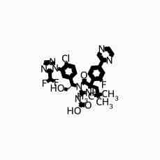 CC(C)(C)CC1(c2ccc(-c3cnccn3)cc2F)NC(=NC(=O)O)N([C@H](CO)c2ccc(Cl)c(-n3ncnc3C(F)F)c2)C1=O